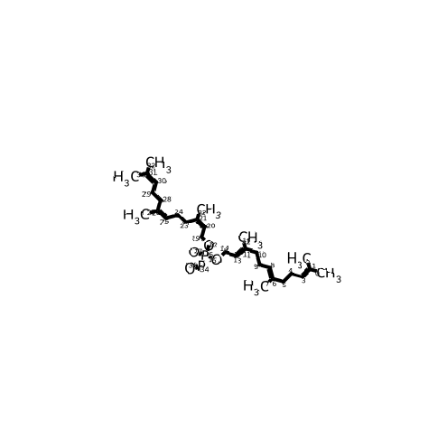 CC(C)=CCCC(C)=CCCC(C)=CCOP(=O)(OCC=C(C)CCC=C(C)CCC=C(C)C)P=O